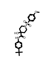 COc1ccc(S(=O)(=O)N2CCC(O)(C(=O)Nc3ccc(C(C)(C)C)cc3)CC2)cc1